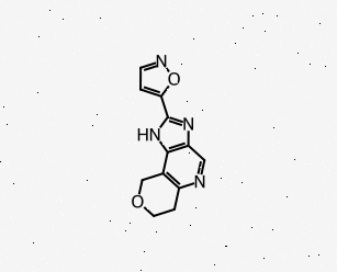 c1cc(-c2nc3cnc4c(c3[nH]2)COCC4)on1